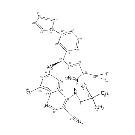 CC(C)(C)CNc1c(C#N)cnc2c(Cl)cc(N[C@@H](c3cccc(-n4ccnc4)c3)c3cn(C4CC4)nn3)cc12